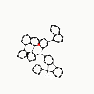 CC1(c2ccccc2)c2ccccc2-c2ccc(N(c3cccc(-c4cccc5ccccc45)c3)c3ccccc3-c3cccc4cccc(-c5ccccc5)c34)cc21